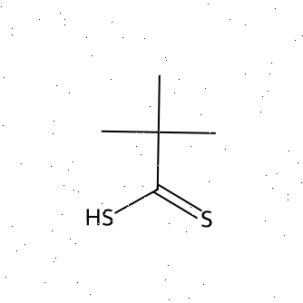 CC(C)(C)C(=S)S